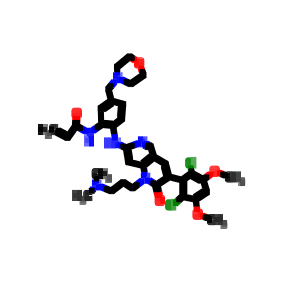 C=CC(=O)Nc1cc(CN2CCOCC2)ccc1Nc1cc2c(cn1)cc(-c1c(Cl)c(OC)cc(OC)c1Cl)c(=O)n2CCCN(C)C